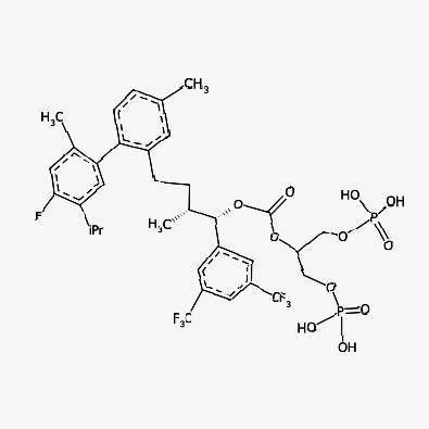 Cc1ccc(-c2cc(C(C)C)c(F)cc2C)c(CC[C@@H](C)[C@H](OC(=O)OC(COP(=O)(O)O)COP(=O)(O)O)c2cc(C(F)(F)F)cc(C(F)(F)F)c2)c1